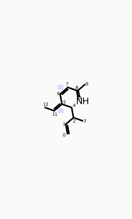 C=CC(C)CC(/C=C\C(C)=N)=C/C